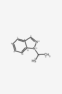 CC(S)n1ncc2ccccc21